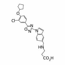 O=C(O)CCNCc1ccc2c(ccn2-c2noc(-c3ccc(OC4CCCC4)c(Cl)c3)n2)c1